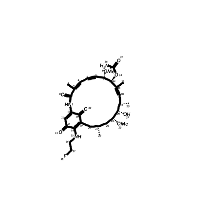 CO[C@H]1C=CC=C(C)C(=O)NC2=CC(=O)C(NCCF)=C(C[C@@H](C)C[C@@H](OC)[C@@H](O)[C@@H](C)C=C(C)[C@@H]1OC(N)=O)C2=O